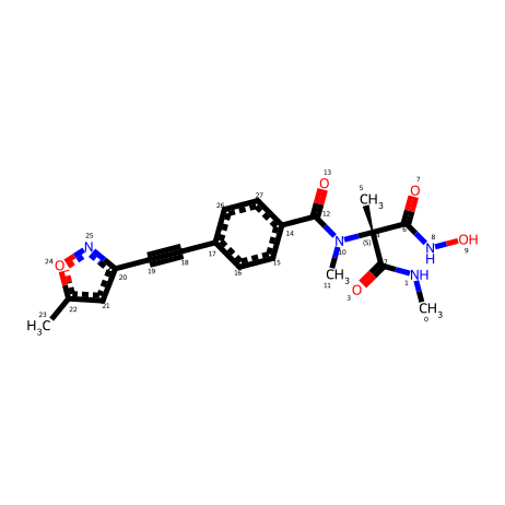 CNC(=O)[C@@](C)(C(=O)NO)N(C)C(=O)c1ccc(C#Cc2cc(C)on2)cc1